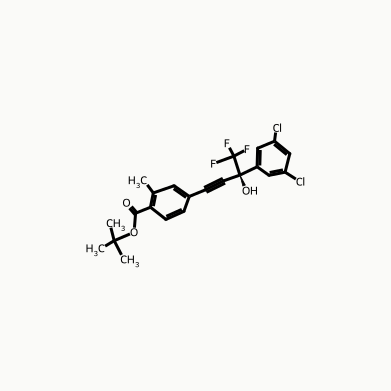 Cc1cc(C#C[C@@](O)(c2cc(Cl)cc(Cl)c2)C(F)(F)F)ccc1C(=O)OC(C)(C)C